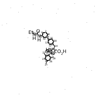 CCNC(=O)Nc1cccc(-c2ccc(C[C@H](NS(=O)(=O)c3c(C)cc(C)cc3C)C(=O)O)cc2)c1